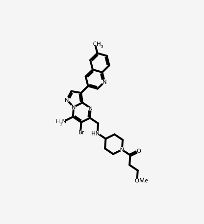 COCCC(=O)N1CCC(NCc2nc3c(-c4cnc5ccc(C)cc5c4)cnn3c(N)c2Br)CC1